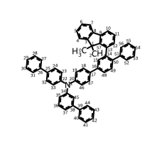 CC1(C)c2ccccc2-c2cccc(-c3cc(-c4ccc(N(c5ccc(-c6ccccc6)cc5)c5cccc(-c6ccccc6)c5)cc4)ccc3-c3ccccc3)c21